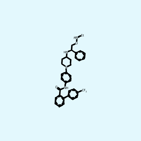 CCNOCC(NC1CCN(c2ccc(NC(=O)c3ccccc3-c3ccc(C(F)(F)F)cc3)cc2)CC1)c1ccccc1